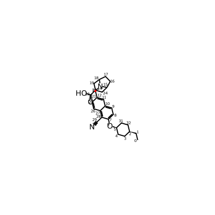 CC[C@H]1CC[C@@H](Oc2ccc3cc(CN4C5CCC4CC(C(=O)O)C5)ccc3c2C#N)CC1